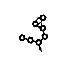 N#Cc1cc(-c2ccc(-c3ccccc3)cc2)cc(-c2cccc(-c3ccc4c(c3)c3cccc5c3n4-c3ccccc3S5)c2)c1